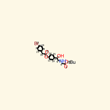 CC(C)(C)OC(=O)CNCC(O)c1ccc(OC(=O)Cc2ccc(Br)cc2)cc1